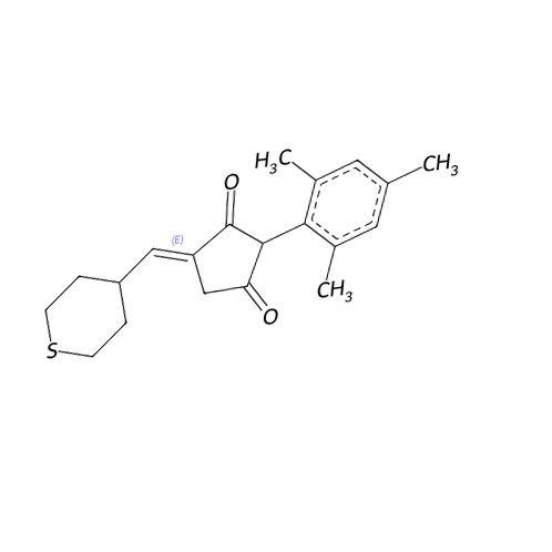 Cc1cc(C)c(C2C(=O)C/C(=C\C3CCSCC3)C2=O)c(C)c1